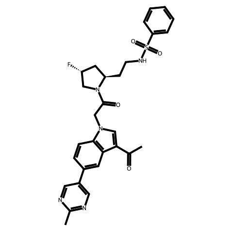 CC(=O)c1cn(CC(=O)N2C[C@H](F)C[C@H]2CCNS(=O)(=O)c2ccccc2)c2ccc(-c3cnc(C)nc3)cc12